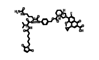 COc1c(N2C[C@@H]3CCCN(C(=O)OCc4ccc(NC(=O)[C@H](CCCNC(N)=O)NC(=O)[C@@H](NC(=O)CCCCCN5C(=O)C=CC5=O)C(C)C)cc4)[C@@H]3C2)c(F)cc2c(=O)c(C(=O)O)cn(C3CC3)c12